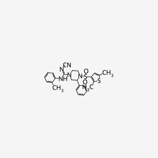 Cc1cc(S(=O)(=O)N2CCN(/C(=N\C#N)Nc3ccccc3C)CC2c2ccccc2)c(C)s1